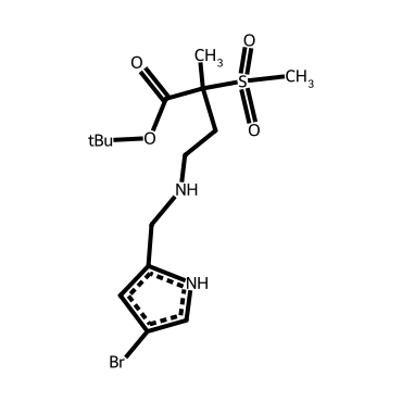 CC(C)(C)OC(=O)C(C)(CCNCc1cc(Br)c[nH]1)S(C)(=O)=O